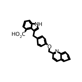 O=C(O)c1cccc2[nH]cc(Cc3ccc(OCc4ccc5ccccc5n4)cc3)c12